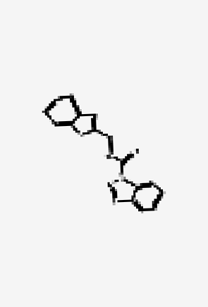 O=C(NCc1cc2ccccc2s1)n1nnc2ccccc21